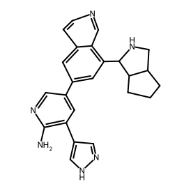 Nc1ncc(-c2cc(C3NCC4CCCC43)c3cnccc3c2)cc1-c1cn[nH]c1